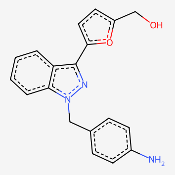 Nc1ccc(Cn2nc(-c3ccc(CO)o3)c3ccccc32)cc1